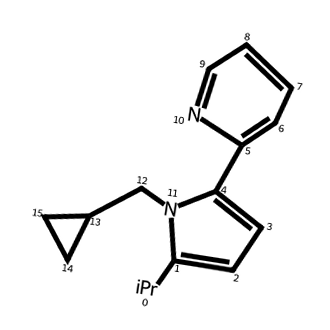 CC(C)c1ccc(-c2ccccn2)n1CC1CC1